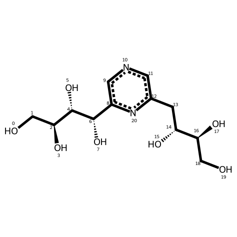 OC[C@H](O)[C@H](O)[C@@H](O)c1cncc(C[C@@H](O)[C@@H](O)CO)n1